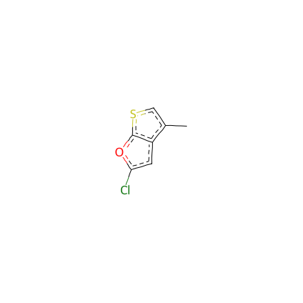 Cc1csc2oc(Cl)cc12